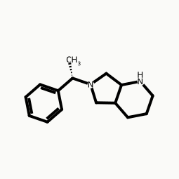 C[C@@H](c1ccccc1)N1CC2CCCNC2C1